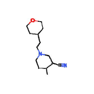 CC1CCN(CCC2CCOCC2)CC1C#N